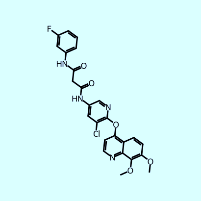 COc1ccc2c(Oc3ncc(NC(=O)CC(=O)Nc4cccc(F)c4)cc3Cl)ccnc2c1OC